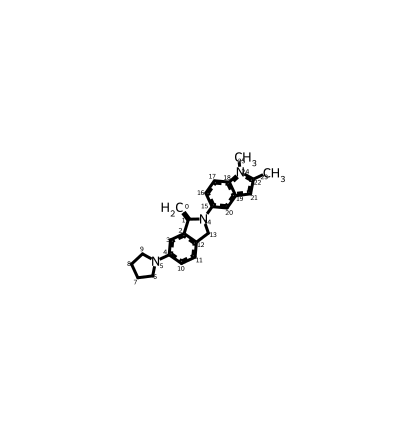 C=C1c2cc(N3CCCC3)ccc2CN1c1ccc2c(c1)cc(C)n2C